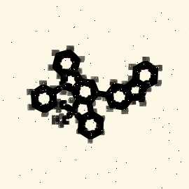 C[Si]1(C)c2ccccc2-c2c(-c3ccc4sc5ccccc5c4c3)cc3c4ccccc4n(-c4ccccc4)c3c21